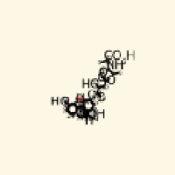 CC(NC(=O)C(C)OC(=O)CC(O)C(=O)OC1=CC[C@@]2(O)[C@H]3Cc4ccc(O)c5c4[C@@]2(CCN3C)[C@H]1O5)C(=O)O